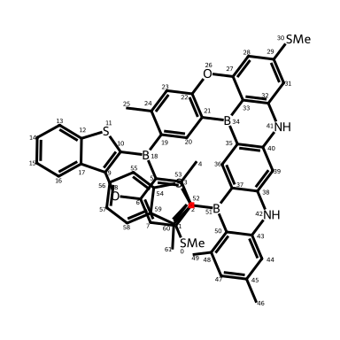 CSc1cc(C)c2c(c1)Oc1c(sc3ccccc13)B2c1cc2c(cc1C)Oc1cc(SC)cc3c1B2c1cc2c(cc1N3)Nc1cc(C)cc(C)c1B2c1sc2ccccc2c1C